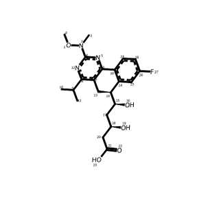 CON(C)c1nc2c(c(C(C)C)n1)C[C@H]([C@@H](O)C[C@@H](O)CC(=O)O)c1cc(F)ccc1-2